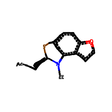 CCN1/C(=C/C(C)=O)Sc2ccc3occc3c21